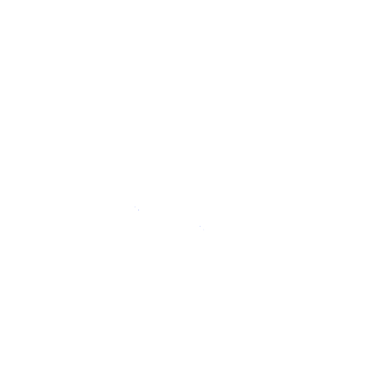 CC(C)Oc1ccc(-n2c(C(=O)O)cc3nc(Oc4cccc(Cl)c4)ccc32)cc1